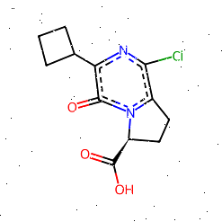 O=C(O)[C@@H]1CCc2c(Cl)nc(C3CCC3)c(=O)n21